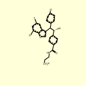 CCC[C@H](c1ccc(C(=O)NCCC(=O)O)cc1)C(c1ccc(Cl)cc1)c1csc2c(Cl)cc(F)cc12